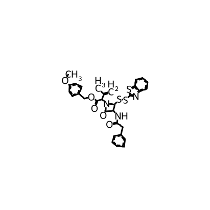 C=C(C)C(C(=O)OCc1ccc(OC)cc1)N1C(=O)C(NC(=O)Cc2ccccc2)C1SSc1nc2ccccc2s1